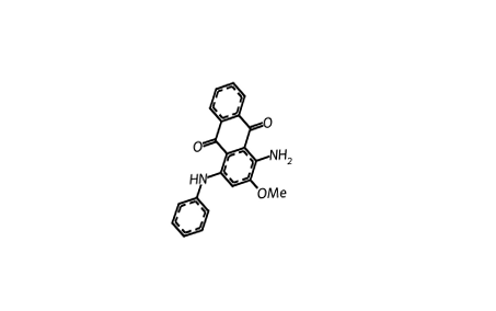 COc1cc(Nc2ccccc2)c2c(c1N)C(=O)c1ccccc1C2=O